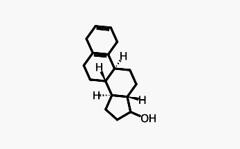 OC1CC[C@H]2[C@@H]3CCC4=C(CC=CC4)[C@H]3CC[C@H]12